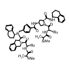 CNC(C)C(=O)NC(C(=O)N1Cc2ccccc2CC1C(=O)N(Cc1ccc(C(=O)N[C@H]2C[C@@H](C(=O)N[C@@H]3CCCc4ccccc43)N(C(=O)C(NC(=O)C(C)NC)C(C)(C)C)C2)cc1)[C@H]1CCCc2ccccc21)C(C)(C)C